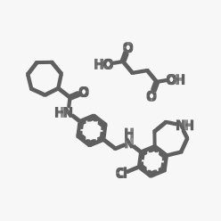 O=C(Nc1ccc(CNc2c(Cl)ccc3c2CCNCC3)cc1)C1CCCCCC1.O=C(O)CCC(=O)O